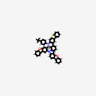 CC(C)(C)c1ccc(Nc2cc3sc4ccccc4c3cc2-c2ccc3c4c5oc6ccccc6c5ccc4n4c3c2Bc2cc3oc5ccccc5c3cc2-4)cc1